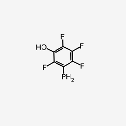 Oc1c(F)c(F)c(F)c(P)c1F